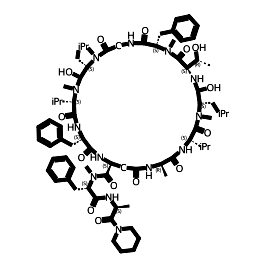 CC(C)C[C@H]1C(O)N[C@@H]([C@@H](C)O)C(=O)N(C)[C@@H](Cc2ccccc2)C(=O)NCC(=O)N(C)[C@@H](CC(C)C)C(O)N(C)[C@@H](C(C)C)C(=O)N[C@@H](Cc2ccccc2)C(=O)N[C@H](C(=O)N(C)[C@@H](Cc2ccccc2)C(=O)N[C@@H](C)C(=O)N2CCCCC2)CC(=O)N[C@H](C)C(=O)N[C@@H](C(C)C)C(=O)N1C